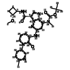 CO[C@@H]1CCC1NC(=O)c1cnc2c(N(C)C(=O)OC(C)(C)C)cc(Nc3cccn(-c4ccc(C)nc4)c3=O)nn12